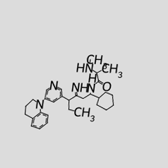 CCC(C(=N)CC(NC(=O)C(C)NC)C1CCCCC1)c1cncc(N2CCCc3ccccc32)c1